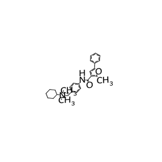 Cc1oc(-c2ccccc2)cc1C(=O)Nc1ccc(C[N+](C)(C)C2CCCCC2)cc1